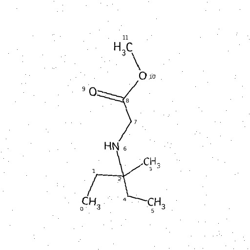 CCC(C)(CC)NCC(=O)OC